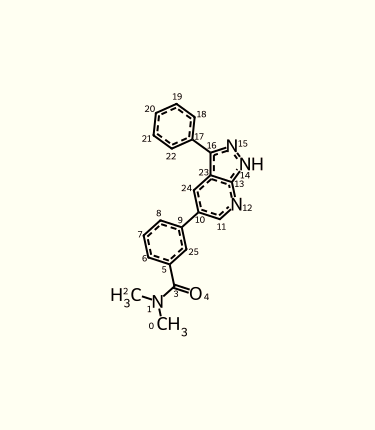 CN(C)C(=O)c1cccc(-c2cnc3[nH]nc(-c4ccccc4)c3c2)c1